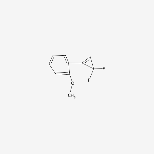 COc1ccccc1C1=CC1(F)F